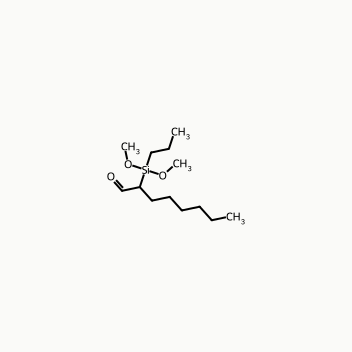 CCCCCCC(C=O)[Si](CCC)(OC)OC